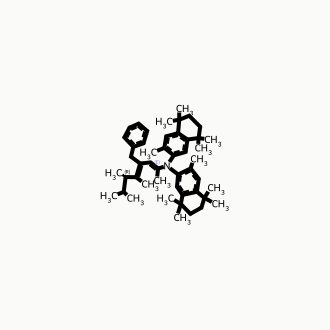 CC(=C(/C=C(\C)N(c1cc2c(cc1C)C(C)(C)CCC2(C)C)c1cc2c(cc1C)C(C)(C)CCC2(C)C)Cc1ccccc1)[C@H](C)C(C)C